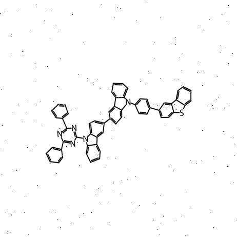 c1ccc(-c2nc(-c3ccccc3)nc(-n3c4ccccc4c4cc(-c5ccc6c(c5)c5ccccc5n6-c5ccc(-c6ccc7sc8ccccc8c7c6)cc5)ccc43)n2)cc1